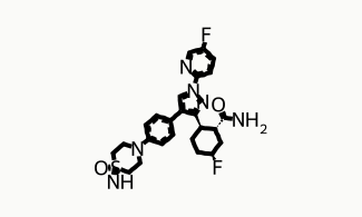 N=S1(=O)CCN(c2ccc(-c3cn(-c4ccc(F)cn4)nc3[C@@H]3CC[C@H](F)C[C@H]3C(N)=O)cc2)CC1